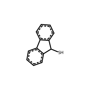 SC1c2ccccc2-c2ccccc21